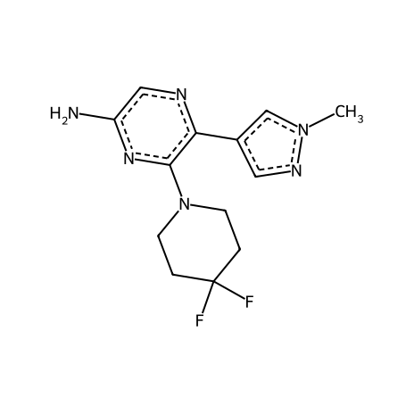 Cn1cc(-c2ncc(N)nc2N2CCC(F)(F)CC2)cn1